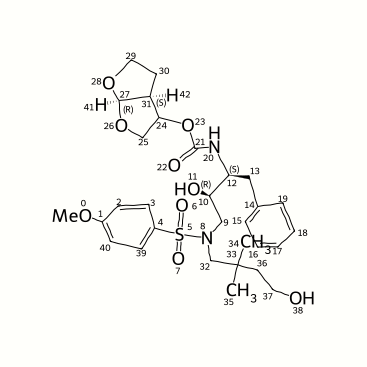 COc1ccc(S(=O)(=O)N(C[C@@H](O)[C@H](Cc2ccccc2)NC(=O)OC2CO[C@H]3OCC[C@@H]23)CC(C)(C)CCO)cc1